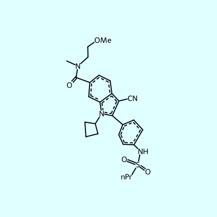 CCCS(=O)(=O)Nc1ccc(-c2c(C#N)c3ccc(C(=O)N(C)CCOC)cc3n2C2CCC2)cc1